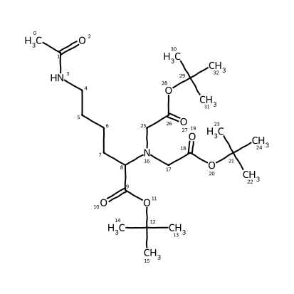 CC(=O)NCCCCC(C(=O)OC(C)(C)C)N(CC(=O)OC(C)(C)C)CC(=O)OC(C)(C)C